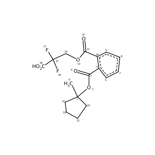 CC1(OC(=O)c2ccccc2C(=O)OCC(F)(F)C(=O)O)CCCC1